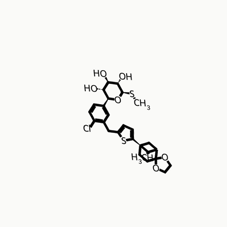 CS[C@H]1O[C@@H](c2ccc(Cl)c(Cc3ccc([C@@]45CCC6(OCCO6)C(C4)[C@@H]5C)s3)c2)[C@H](O)[C@@H](O)[C@@H]1O